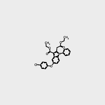 CCOC(=O)Cc1c(C(=O)OCC)c2cc(Oc3ccc(Cl)cc3)ccc2n1-c1ccccc1